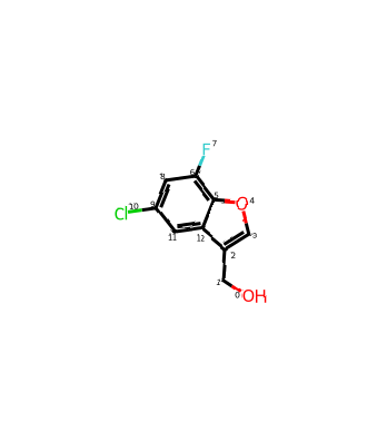 OCc1coc2c(F)cc(Cl)cc12